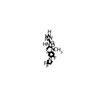 CN1C(=O)[C@@H](NC(=O)c2nn[nH]n2)CSc2cc(N3CCC(F)(F)C3)c(F)cc21